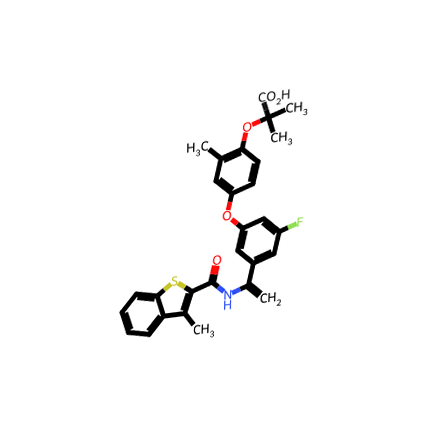 C=C(NC(=O)c1sc2ccccc2c1C)c1cc(F)cc(Oc2ccc(OC(C)(C)C(=O)O)c(C)c2)c1